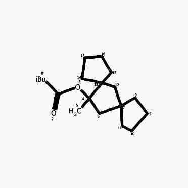 CCC(C)C(=O)OC1(C)CC2(CCCC2)CC12CCCC2